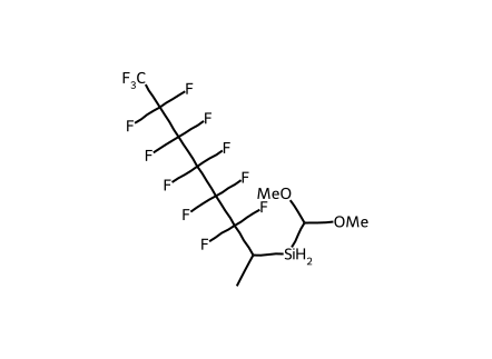 COC(OC)[SiH2]C(C)C(F)(F)C(F)(F)C(F)(F)C(F)(F)C(F)(F)C(F)(F)F